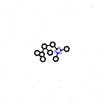 c1ccc(-c2nc(-c3ccccc3)nc(-c3cccc(-c4cccc(-c5cc6ccccc6c6ccccc56)c4-c4ccccc4)c3)n2)cc1